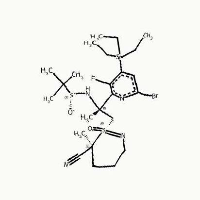 CC[Si](CC)(CC)c1cc(Br)nc([C@](C)(C[S@]2(=O)=NCCC[C@@]2(C)C#N)N[S@+]([O-])C(C)(C)C)c1F